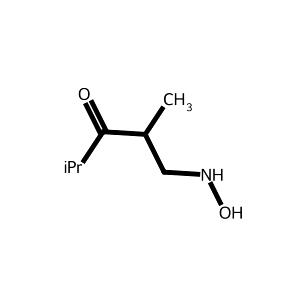 CC(C)C(=O)C(C)CNO